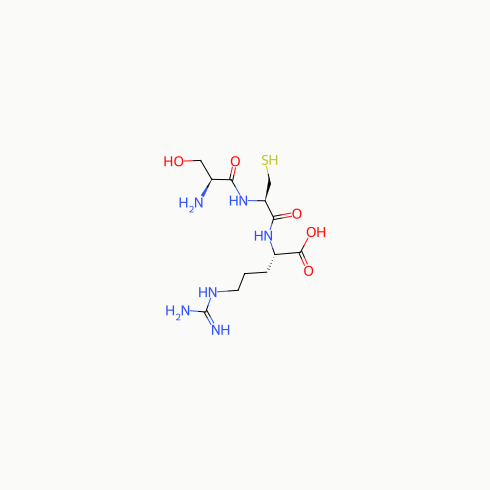 N=C(N)NCCC[C@H](NC(=O)[C@H](CS)NC(=O)[C@@H](N)CO)C(=O)O